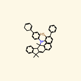 CC1(C)C2=Cc3ccccc3C(C)(N(c3ccc(C4=CC=CCC4)cc3)c3cccc(-c4ccccc4)c3S)C2c2ccccc21